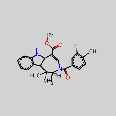 [2H]C1([2H])N(C(=O)c2ccc(C)c(F)c2)C=C(C(=O)OC(C)C)C2Nc3ccccc3C2C1(C)C